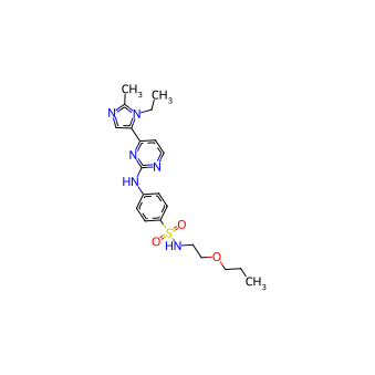 CCCOCCNS(=O)(=O)c1ccc(Nc2nccc(-c3cnc(C)n3CC)n2)cc1